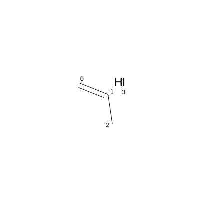 C=CC.I